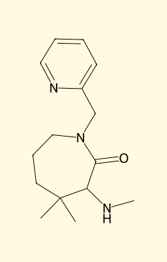 CNC1C(=O)N(Cc2ccccn2)CCCC1(C)C